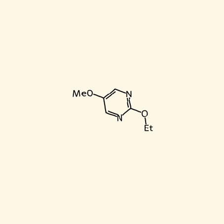 CCOc1ncc(OC)cn1